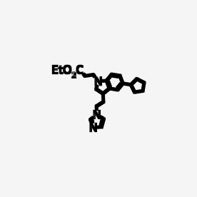 CCOC(=O)CCN1CC(CCn2ccnc2)c2cc(C3CCCC3)ccc21